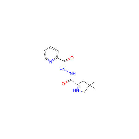 O=C(NNC(=O)[C@@H]1CC2(CC2)CN1)c1ccccn1